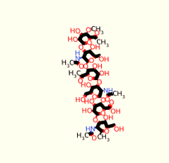 CO[C@@H]1C(C(C)=O)O[C@@H](OC2[C@H](O)C(CO)O[C@@H](O[C@@H]3C(C(C)=O)O[C@@H](OC4[C@H](O)C(CO)O[C@@H](O[C@@H]5C(C(=O)O)O[C@@H](OC6[C@H](O)C(CO)O[C@@H](C)[C@H]6NC(C)=O)[C@@H](O)C5O)[C@H]4NC(C)=O)[C@@H](O)C3O)[C@H]2NC(C)=O)[C@@H](O)C1O